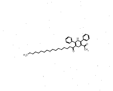 CCCCCCCCCCCCCCCCC(=O)C1=C(c2ccccc2)NC(c2ccccc2)=C(C(C)=O)C1